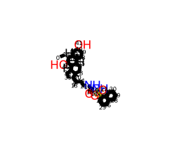 CC[C@H]1[C@@H](O)[C@H]2[C@H](CC[C@]3(C)[C@@H]([C@H](C)CCNC(=O)NS(=O)(=O)c4cccc5ccccc45)CC[C@@H]23)C2(C)CC[C@@H](O)C[C@@H]12